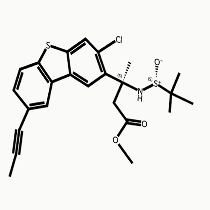 CC#Cc1ccc2sc3cc(Cl)c([C@](C)(CC(=O)OC)N[S@+]([O-])C(C)(C)C)cc3c2c1